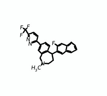 CN1CCC(c2cc3ccccc3cc2F)c2ccc(-c3ccc(C(F)(F)F)nn3)cc2C1